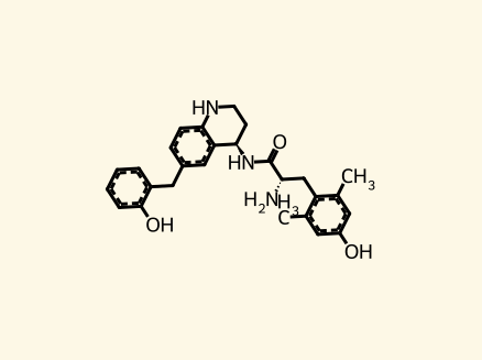 Cc1cc(O)cc(C)c1C[C@H](N)C(=O)N[C@@H]1CCNc2ccc(Cc3ccccc3O)cc21